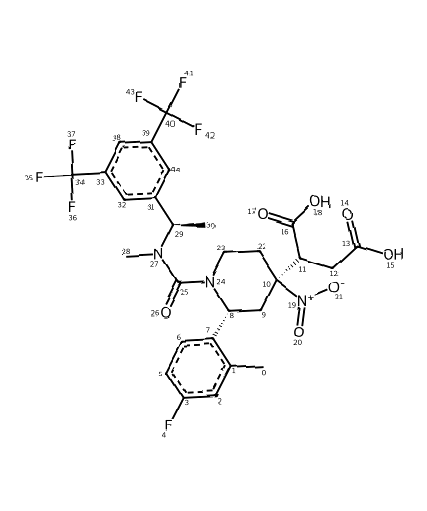 Cc1cc(F)ccc1[C@H]1C[C@](C(CC(=O)O)C(=O)O)([N+](=O)[O-])CCN1C(=O)N(C)[C@H](C)c1cc(C(F)(F)F)cc(C(F)(F)F)c1